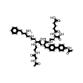 CC(=O)NCC(=O)NCCN[C@@H](CCNC[C@@H](N)CCc1ccccc1)C(=O)C[C@H](Cc1ccc(-c2ccc(NC(C)=O)cc2)cc1)C(=O)NCC[C@@H](NC(=O)CCCC(=O)O)C(=O)O